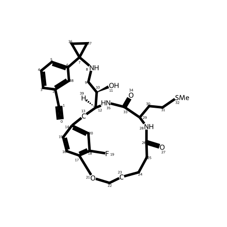 C#Cc1cccc(C2(NC[C@@H](O)[C@@H]3Cc4ccc(c(F)c4)OCCCCC(=O)NC(CCSC)C(=O)N3)CC2)c1